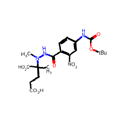 CN(NC(=O)c1ccc(NC(=O)OC(C)(C)C)cc1[N+](=O)[O-])C(C)(CCC(=O)O)C(=O)O